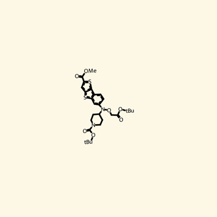 COC(=O)c1cc2sc3cc(N(OCC(=O)OC(C)(C)C)C4CCN(C(=O)OC(C)(C)C)CC4)ccc3c2s1